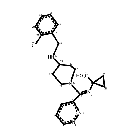 O=C(O)C1(N=C(c2cccnn2)N2CCC(NCc3ccccc3Cl)CC2)CC1